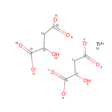 O=C([O-])CC(O)C(=O)[O-].O=C([O-])CC(O)C(=O)[O-].[Ti+4]